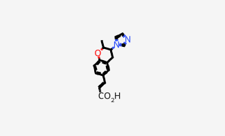 CC1Oc2ccc(C=CC(=O)O)cc2CC1n1ccnc1